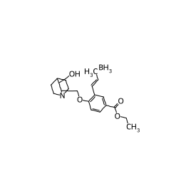 B.CC=Cc1cc(C(=O)OCC)ccc1OCC1C(O)C2CCN1CC2